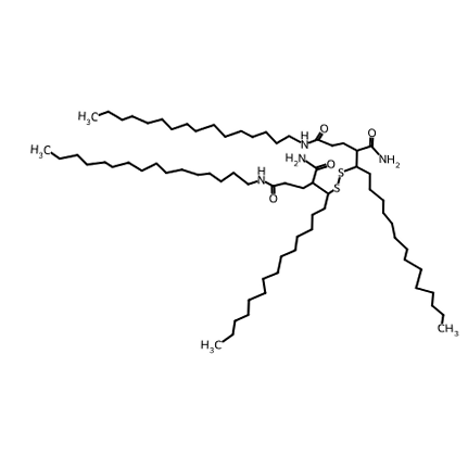 CCCCCCCCCCCCCCCCNC(=O)CCC(C(N)=O)C(CCCCCCCCCCCCCC)SSC(CCCCCCCCCCCCCC)C(CCC(=O)NCCCCCCCCCCCCCCCC)C(N)=O